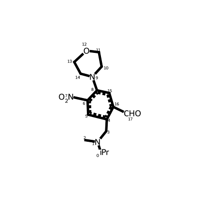 CC(C)N(C)Cc1cc([N+](=O)[O-])c(N2CCOCC2)cc1C=O